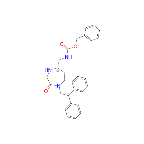 O=C(NC[C@@H]1CCN(CC(c2ccccc2)c2ccccc2)C(=O)CN1)OCc1ccccc1